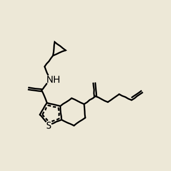 C=CCCC(=C)C1CCc2scc(C(=C)NCC3CC3)c2C1